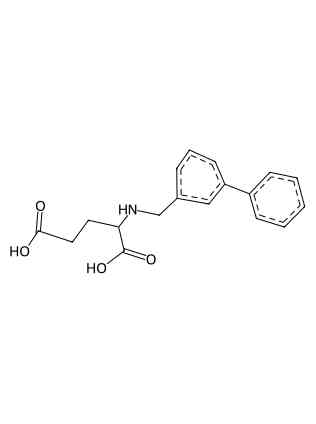 O=C(O)CCC(NCc1cccc(-c2ccccc2)c1)C(=O)O